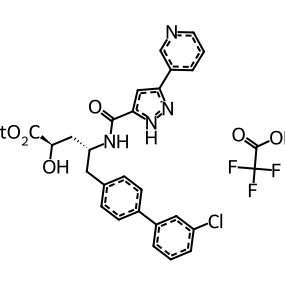 CCOC(=O)[C@H](O)C[C@@H](Cc1ccc(-c2cccc(Cl)c2)cc1)NC(=O)c1cc(-c2cccnc2)n[nH]1.O=C(O)C(F)(F)F